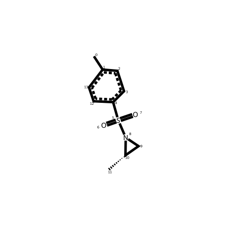 Cc1ccc(S(=O)(=O)N2C[C@@H]2C)cc1